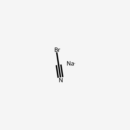 N#CBr.[Na]